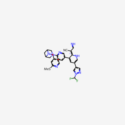 CSc1cc(CN2C3CC2CN(c2ccc(C4=CC(c5cnn(C(F)F)c5)=CN/C4=C(/C#N)C=N)cn2)C3)ccn1